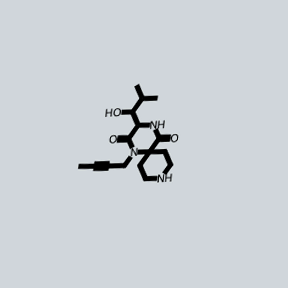 CC#CCN1C(=O)C(C(O)C(C)C)NC(=O)C12CCNCC2